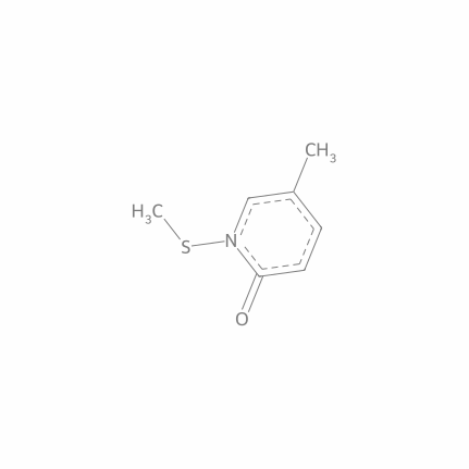 CSn1cc(C)ccc1=O